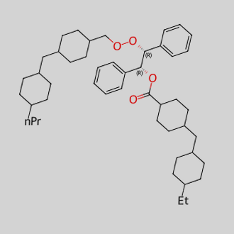 CCCC1CCC(CC2CCC(COO[C@H](c3ccccc3)[C@H](OC(=O)C3CCC(CC4CCC(CC)CC4)CC3)c3ccccc3)CC2)CC1